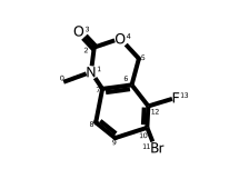 CN1C(=O)OCc2c1ccc(Br)c2F